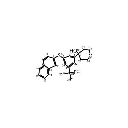 OC1(c2cc(Sc3ccc4ccccc4c3)cc(C(F)(F)F)c2)CCOCC1